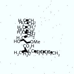 C=C.C=C.C=C.C=C.C=C.C=C.C=C.C=C.C=C.C=C(C)C(=O)O.COCCO